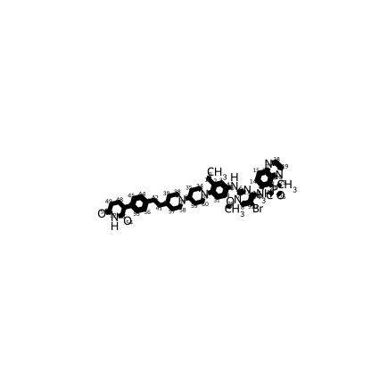 CCc1cc(Nc2ncc(Br)c(Nc3ccc4nccnc4c3P(C)(C)=O)n2)c(OC)cc1N1CCC(N2CCC(CCc3ccc(C4CCC(=O)NC4=O)cc3)CC2)CC1